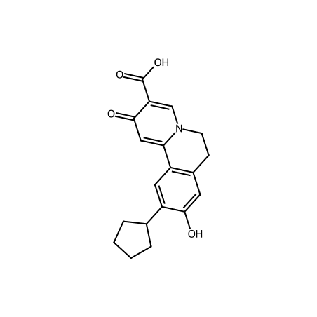 O=C(O)c1cn2c(cc1=O)-c1cc(C3CCCC3)c(O)cc1CC2